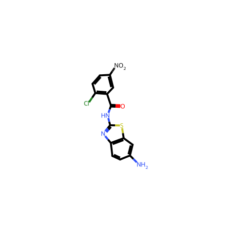 Nc1ccc2nc(NC(=O)c3cc([N+](=O)[O-])ccc3Cl)sc2c1